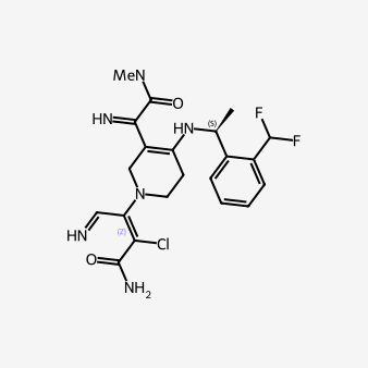 CNC(=O)C(=N)C1=C(N[C@@H](C)c2ccccc2C(F)F)CCN(/C(C=N)=C(\Cl)C(N)=O)C1